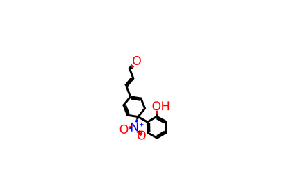 O=CC=CC1=CCC(c2ccccc2O)([N+](=O)[O-])C=C1